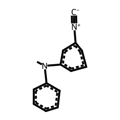 [C-]#[N+]c1cccc(N(C)c2ccccc2)c1